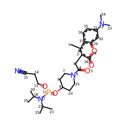 Cc1c(CC(=O)N2CCC(OP(OCCC#N)N(C(C)C)C(C)C)CC2)c(=O)oc2cc(N(C)C)ccc12